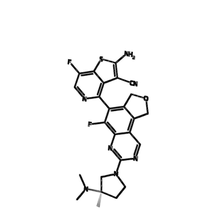 CN(C)[C@]1(C)CCN(c2ncc3c4c(c(-c5ncc(F)c6sc(N)c(C#N)c56)c(F)c3n2)COC4)C1